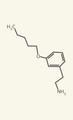 CCCCCOc1cccc(CCN)c1